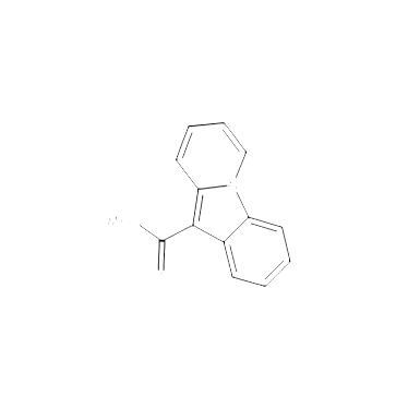 COC(=O)c1c2ccccc2n2ccccc12